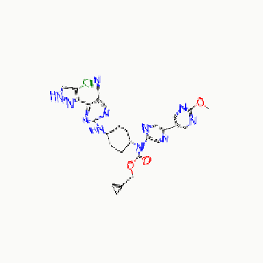 COc1ncc(-c2cnc(N(C(=O)OCC3CC3)[C@H]3CC[C@H](Nc4ncc(C#N)c(-c5n[nH]cc5Cl)n4)CC3)cn2)cn1